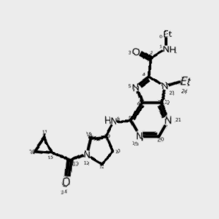 CCNC(=O)c1nc2c(NC3CCN(C(=O)C4CC4)C3)ncnc2n1CC